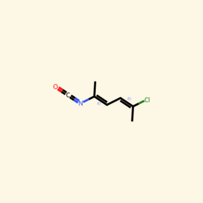 C/C(Cl)=C\C=C(/C)N=C=O